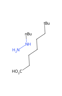 CC(C)(C)CCCCCC(=O)O.CCCCNN